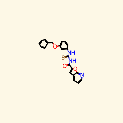 O=C(NC(=S)Nc1cccc(OCc2ccccc2)c1)c1cc2cccnc2o1